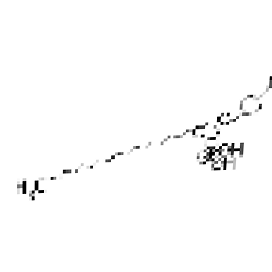 CCCCCCCCCCCCCCCCCCOCC(COP(=O)(O)O)OCc1ccc(C#N)cc1